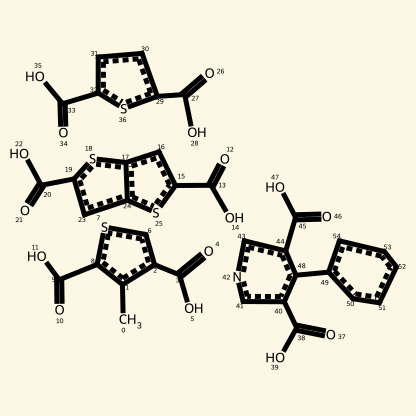 Cc1c(C(=O)O)csc1C(=O)O.O=C(O)c1cc2sc(C(=O)O)cc2s1.O=C(O)c1ccc(C(=O)O)s1.O=C(O)c1cncc(C(=O)O)c1-c1ccccc1